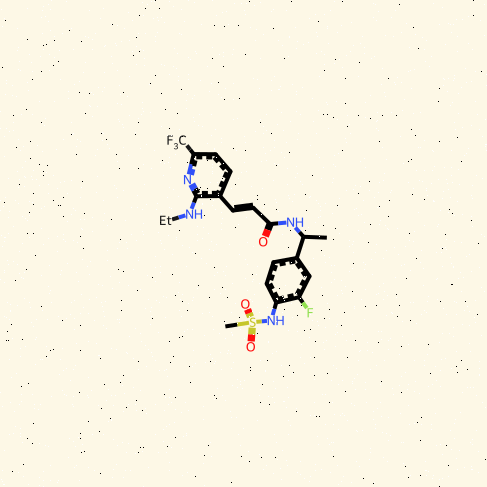 CCNc1nc(C(F)(F)F)ccc1C=CC(=O)NC(C)c1ccc(NS(C)(=O)=O)c(F)c1